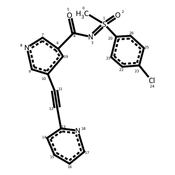 CS(=O)(=NC(=O)c1cncc(C#Cc2ccccn2)c1)c1ccc(Cl)cc1